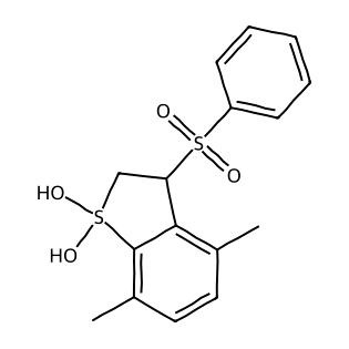 Cc1ccc(C)c2c1C(S(=O)(=O)c1ccccc1)CS2(O)O